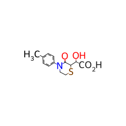 Cc1ccc(N2CCSC(C(O)C(=O)O)C2=O)cc1